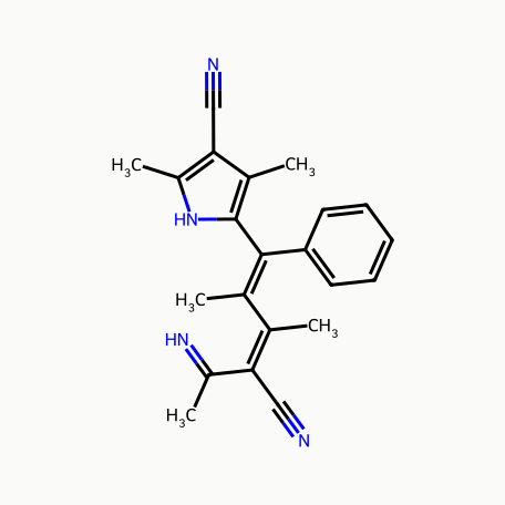 CC(=N)/C(C#N)=C(C)\C(C)=C(/c1ccccc1)c1[nH]c(C)c(C#N)c1C